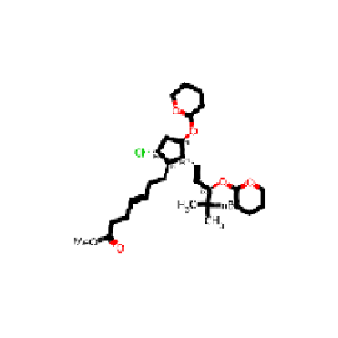 CCCCC(C)(C)[C@@H](C=C[C@@H]1[C@@H](CCC=CCCC(=O)OC)[C@H](Cl)C[C@H]1OC1CCCCO1)OC1CCCCO1